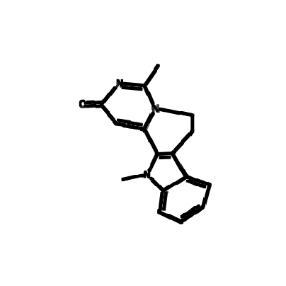 Cc1nc(=O)cc2n1CCc1c-2n(C)c2ccccc12